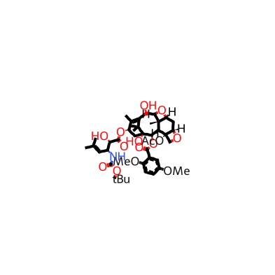 COc1ccc(OC)c(C(=O)O[C@H]2[C@@H]3[C@]4(OC(C)=O)CO[C@@H]4C[C@H]4O[C@@H]([C@H](O)C5=C(C)[C@@H](OC(=O)[C@H](O)[C@H](C=C(C)C)NC(=O)OC(C)(C)C)C[C@]2(O)C5(C)C)[C@@]34C)c1